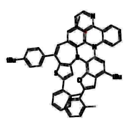 Cc1cc2c3c(c1)N(c1ccccc1-c1ccccn1)c1cc(C(C)(C)C)c4cc(-c5ccccc5C)oc4c1B3c1cc(-c3ccccc3C)sc1C(c1ccc(C(C)(C)C)cc1)=C2